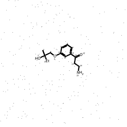 CCC(C)(O)COc1cccc(C(=O)CCN)c1